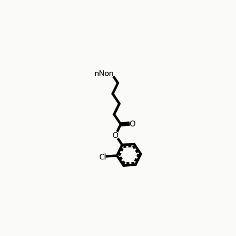 CCCCCCCCCCCCCC(=O)Oc1ccccc1Cl